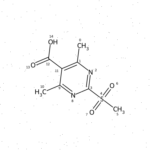 Cc1nc(S(C)(=O)=O)nc(C)c1C(=O)O